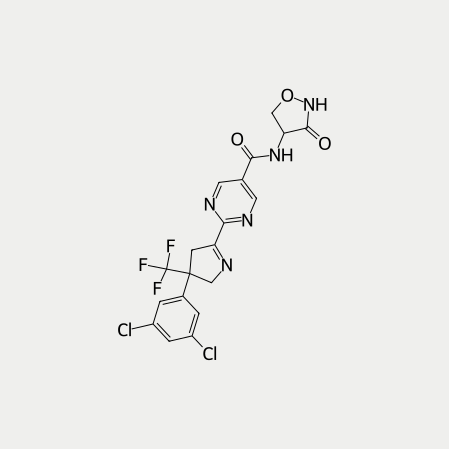 O=C(NC1CONC1=O)c1cnc(C2=NCC(c3cc(Cl)cc(Cl)c3)(C(F)(F)F)C2)nc1